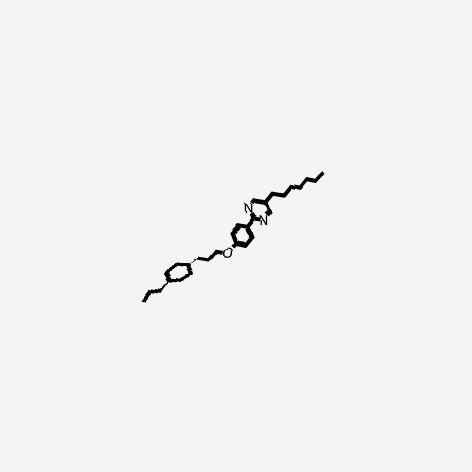 CCCCCCCc1cnc(-c2ccc(OCCC[C@H]3CC[C@H](CCC)CC3)cc2)nc1